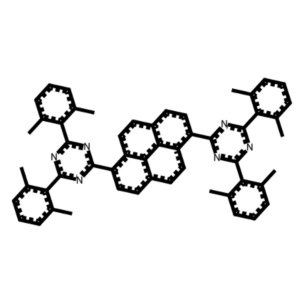 Cc1cccc(C)c1-c1nc(-c2c(C)cccc2C)nc(-c2ccc3ccc4c(-c5nc(-c6c(C)cccc6C)nc(-c6c(C)cccc6C)n5)ccc5ccc2c3c54)n1